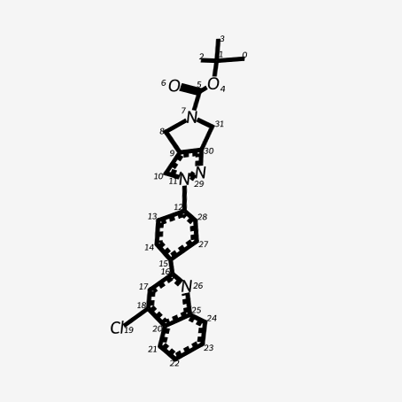 CC(C)(C)OC(=O)N1Cc2cn(-c3ccc(-c4cc(Cl)c5ccccc5n4)cc3)nc2C1